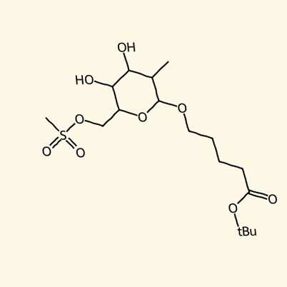 CC1C(OCCCCC(=O)OC(C)(C)C)OC(COS(C)(=O)=O)C(O)C1O